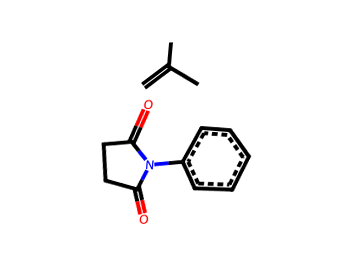 C=C(C)C.O=C1CCC(=O)N1c1ccccc1